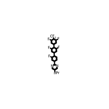 CCCc1cnc(-c2ccc(-c3cc(F)c(-c4cc(F)c(C(F)(F)F)c(F)c4)c(F)c3)c(F)c2)nc1